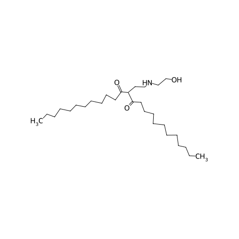 CCCCCCCCCCCC(=O)C(CCNCCO)C(=O)CCCCCCCCCCC